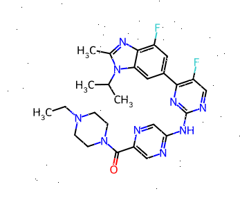 CCN1CCN(C(=O)c2cnc(Nc3ncc(F)c(-c4cc(F)c5nc(C)n(C(C)C)c5c4)n3)cn2)CC1